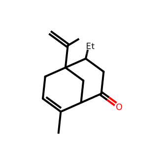 C=C(C)C12CC=C(C)C(C1)C(=O)CC2CC